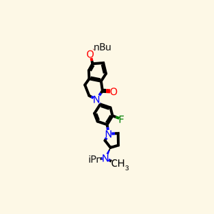 CCCCOc1ccc2c(c1)CCN(c1ccc(N3CC[C@@H](N(C)C(C)C)C3)c(F)c1)C2=O